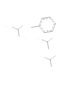 CCCCC(CC)C(=O)[O-].CCCCC(CC)C(=O)[O-].CCCCC(CC)C(=O)[O-].Cc1ccccc1.[La+3]